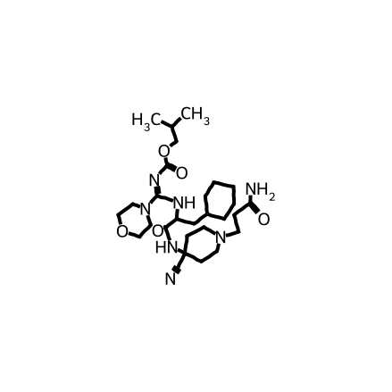 CC(C)COC(=O)/N=C(\NC(CC1CCCCC1)C(=O)NC1(C#N)CCN(CCC(N)=O)CC1)N1CCOCC1